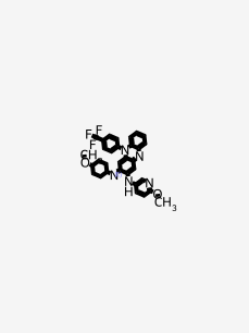 COc1ccc(Nc2cc3nc4ccccc4n(-c4ccc(C(F)(F)F)cc4)c-3c/c2=N\C2CCC(OC)CC2)cn1